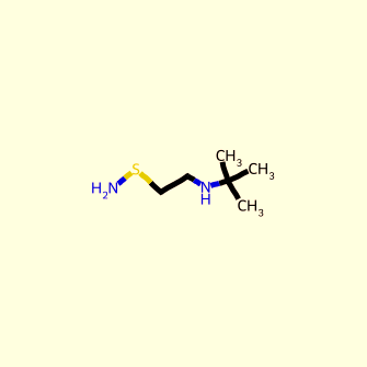 CC(C)(C)NCCSN